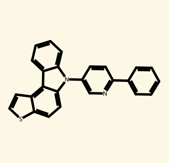 c1ccc(-c2ccc(-n3c4ccccc4c4c5ccsc5ccc43)cn2)cc1